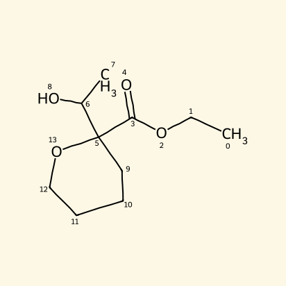 CCOC(=O)C1(C(C)O)CCCCO1